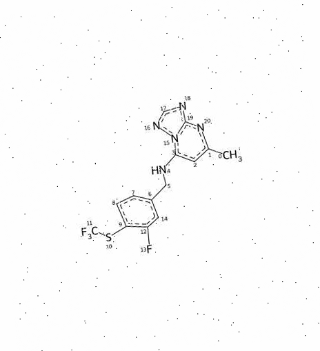 Cc1cc(NCc2ccc(SC(F)(F)F)c(F)c2)n2ncnc2n1